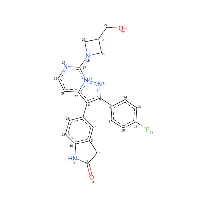 O=C1Cc2cc(-c3c(-c4ccc(F)cc4)nn4c(N5CC(CO)C5)nccc34)ccc2N1